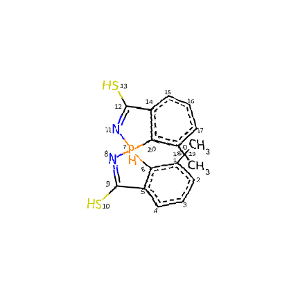 Cc1cccc2c1[PH]1(N=C2S)N=C(S)c2cccc(C)c21